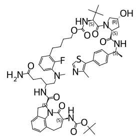 Cc1ncsc1-c1ccc([C@H](C)NC(=O)[C@@H]2C[C@@H](O)CN2C(=O)[C@@H](NC(=O)OCCCCc2cccc(N(C)CC(CCC(N)=O)NC(=O)[C@@H]3Cc4cccc5c4N3C(=O)[C@@H](NC(=O)OC(C)(C)C)CC5)c2F)C(C)(C)C)cc1